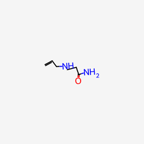 C=CCNCCC(N)=O